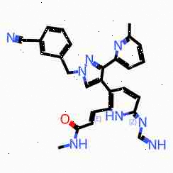 CNC(=O)/C=C/c1[nH]/c(=N\C=N)ccc1-c1cn(Cc2cccc(C#N)c2)nc1-c1cccc(C)n1